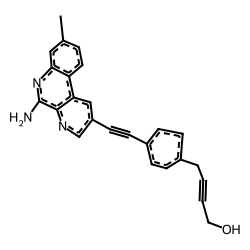 Cc1ccc2c(c1)nc(N)c1ncc(C#Cc3ccc(CC#CCO)cc3)cc12